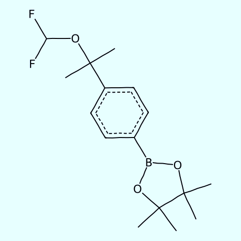 CC(C)(OC(F)F)c1ccc(B2OC(C)(C)C(C)(C)O2)cc1